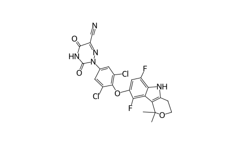 CC1(C)OCCc2[nH]c3c(F)cc(Oc4c(Cl)cc(-n5nc(C#N)c(=O)[nH]c5=O)cc4Cl)c(F)c3c21